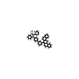 c1ccc(C2Nc3ccccc3N2c2ccc(-c3cccc(-c4c5ccc6ccccc6c5nc5c4ccc4ccccc45)c3)cc2)nc1